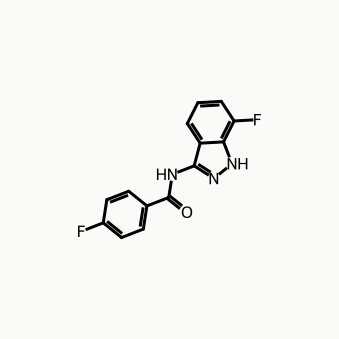 O=C(Nc1n[nH]c2c(F)cccc12)c1ccc(F)cc1